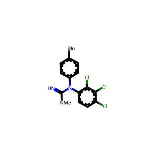 CCC(C)c1ccc(N(C(=N)NC)c2ccc(Cl)c(Cl)c2Cl)cc1